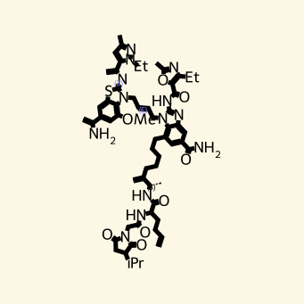 C=CCCC(NC(=O)CN1C(=O)CC(C(C)C)C1=O)C(=O)N[C@@H](C)C(=C)CCCCCc1cc(C(N)=O)cc2nc(NC(=O)c3oc(C)nc3CC)n(C/C=C/Cn3/c(=N/C(=C)c4cc(C)nn4CC)sc4cc(C(=C)N)cc(OC)c43)c12